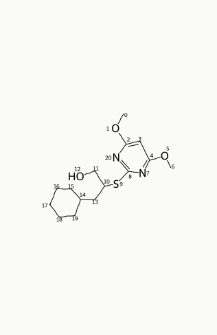 COc1cc(OC)nc(SC(CO)CC2CCCCC2)n1